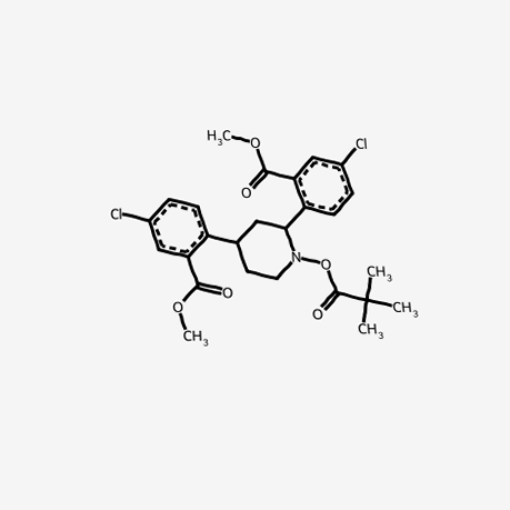 COC(=O)c1cc(Cl)ccc1C1CCN(OC(=O)C(C)(C)C)C(c2ccc(Cl)cc2C(=O)OC)C1